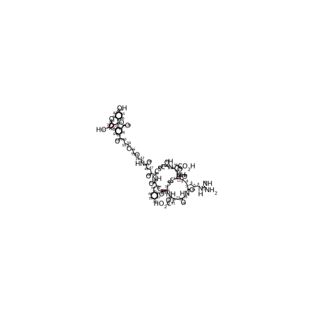 N=C(N)NCCC[C@@H]1CC(=O)[C@@H]2CSSC[C@H](NC(=O)[C@H](CC(=O)O)CC(=O)CNC1=O)C(=O)C[C@@H](Cc1ccccc1)C(=O)N[C@H](C(=O)CCC(=O)NCCOCCOCCCC(=O)c1ccc3c(c1)C(=O)OC31c3ccc(O)cc3Oc3cc(O)ccc31)CSCC(=O)N[C@@H](CC(=O)O)C(=O)N2